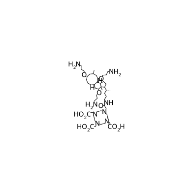 CC1C[C@H](OCCCN)CCC[C@H]2C[C@H](OCCCN)C3(C)C(CCC3[C@H](C)CCCNC(=O)CN3CCN(CC(=O)O)CCN(CC(=O)O)CCN(CC(=O)O)CC3)[C@H]2[C@H](OCCCN)C1